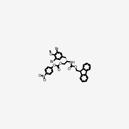 COc1c(Br)cc(C[C@@H](COC(=O)Oc2ccc([N+](=O)[O-])cc2)NC(=O)OCC2c3ccccc3-c3ccccc32)cc1Br